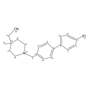 CCc1ccc(-c2ccc(CN3CCC(C)(CC#N)CC3)cc2)cc1